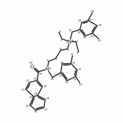 CC[N+](CC)(CCCCN(Cc1cc(C)cc(C)c1)C(=O)c1ccc2ccccc2c1)Cc1cc(C)cc(C)c1